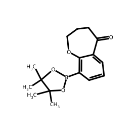 CC1(C)OB(c2cccc3c2OCCCC3=O)OC1(C)C